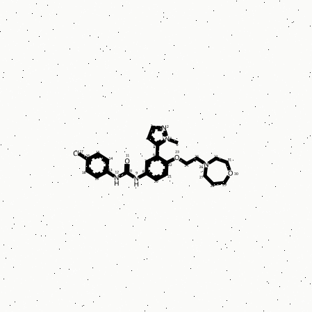 Cn1nccc1-c1cc(NC(=O)Nc2ccc(Cl)cc2)ccc1OCCN1CCCOCC1